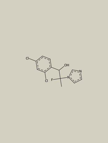 CC(F)(C(O)c1ccc(Cl)cc1Cl)n1ccnc1